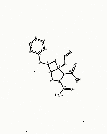 C=CC[C@]12CN(Cc3ccccc3)C1CN(C(=O)O)[C@@H]2C(=O)O